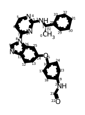 C[C@H](Nc1nccc(-n2cnc3ccc(Oc4ccc(NC=O)cc4)cc32)n1)c1ccccc1